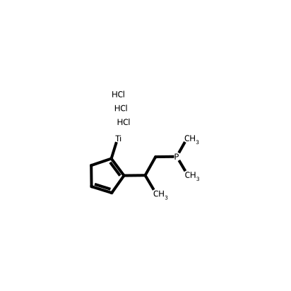 CC(CP(C)C)C1=[C]([Ti])CC=C1.Cl.Cl.Cl